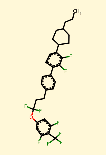 CCCC1CCC(c2ccc(-c3ccc(CCC(F)(F)Oc4cc(F)c(C(F)(F)F)c(F)c4)cc3)c(F)c2F)CC1